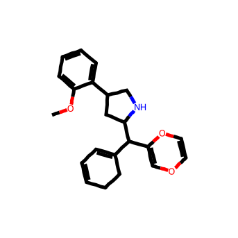 COc1ccccc1C1CNC(C(C2=CC=CCC2)C2=COC=CO2)C1